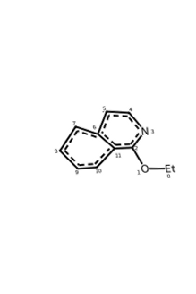 CCOc1nc[c]c2ccccc12